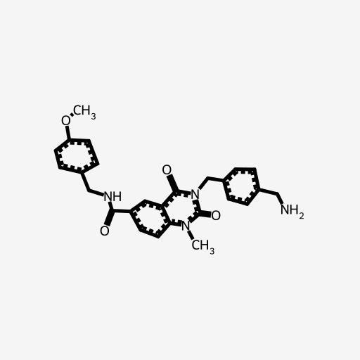 COc1ccc(CNC(=O)c2ccc3c(c2)c(=O)n(Cc2ccc(CN)cc2)c(=O)n3C)cc1